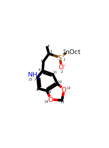 CCCCCCCC[S+]([O-])C(C)Cc1ccc2c(c1)OCO2.N